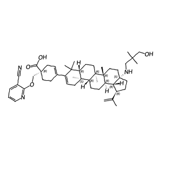 C=C(C)[C@@H]1CC[C@]2(NCC(C)(C)CO)CC[C@]3(C)[C@H](CC[C@@H]4[C@@]5(C)CC=C(C6=CC[C@](COc7ncccc7C#N)(C(=O)O)CC6)C(C)(C)[C@@H]5CC[C@]43C)[C@@H]12